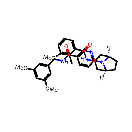 COc1cc(CNC(=O)c2ccc(N3[C@@H]4CC[C@H]3C[C@@H](NC(=O)c3cccc(OC)c3C)C4)nc2)cc(OC)c1